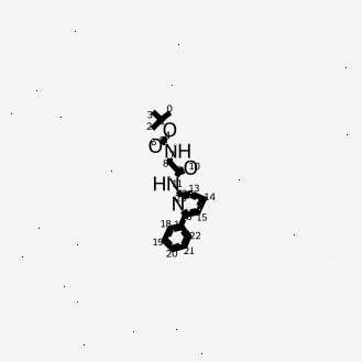 CC(C)(C)OC(=O)NCC(=O)Nc1cccc(-c2ccccc2)n1